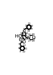 OC1(C2=COC(Cc3ccccc3)O2)CN(Cc2ccccc2)CC1CN1CCOCC1